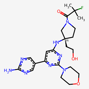 CC(C)(F)C(=O)N1CC[C@](CCO)(Nc2cc(-c3cnc(N)nc3)nc(N3CCOCC3)n2)C1